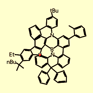 CCCCC(C)(C)c1cc2oc3c4c(ccc3c2cc1CC)N(c1ccc(C(C)(C)C)cc1-c1ccccc1)c1cc(-c2ccccc2C)cc2c1B4N1c3ccccc3C(c3ccccc3)(c3ccccc3)c3cccc-2c31